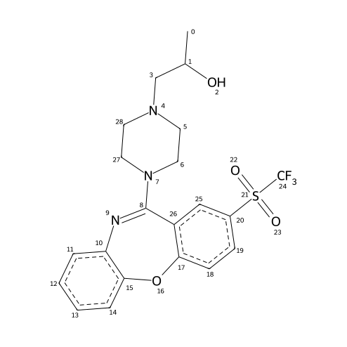 CC(O)CN1CCN(C2=Nc3ccccc3Oc3ccc(S(=O)(=O)C(F)(F)F)cc32)CC1